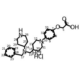 Cl.Cl.O=C(O)COc1ccc(N2CCC(CN(Cc3ccccc3)C3CCNCC3)CC2)cc1